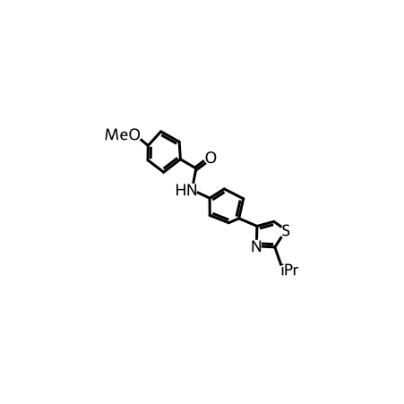 COc1ccc(C(=O)Nc2ccc(-c3csc(C(C)C)n3)cc2)cc1